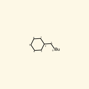 CCC(C)[CH]C1CCCCC1